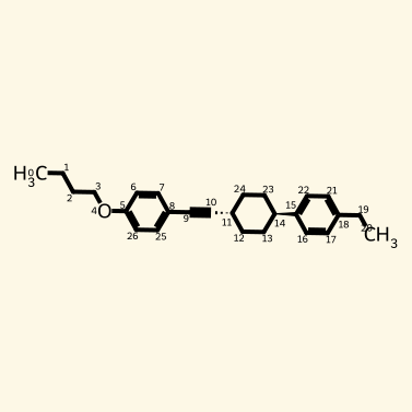 CCCCOc1ccc(C#C[C@H]2CC[C@H](c3ccc(CC)cc3)CC2)cc1